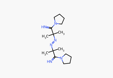 CC(C)(N=NC(C)(C)C(=N)N1CCCC1)C(=N)N1CCCC1